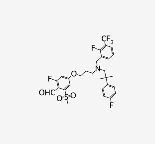 CC(C)(CN(CCCOc1cc(F)c(C=O)c(S(C)(=O)=O)c1)Cc1cccc(C(F)(F)F)c1F)c1ccc(F)cc1